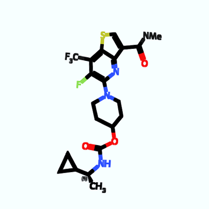 CNC(=O)c1csc2c(C(F)(F)F)c(F)c(N3CCC(OC(=O)N[C@@H](C)C4CC4)CC3)nc12